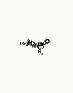 CC(NCC1CCN(C(=O)OC(C)(C)C)CC1)C(O)C(=O)NCC1CCCCC1